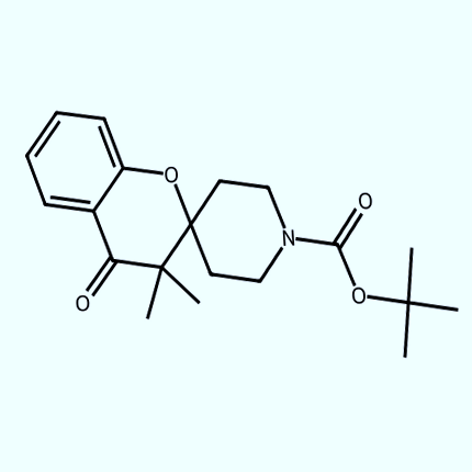 CC(C)(C)OC(=O)N1CCC2(CC1)Oc1ccccc1C(=O)C2(C)C